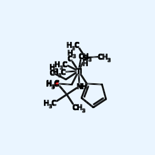 C[CH2][Ti]([CH3])([CH3])([CH3])([CH3])([CH2]C)([NH]C(C)(C)C)([C]1=CC=CC1)[SiH](C)C